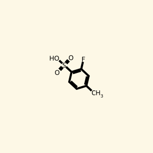 Cc1ccc(S(=O)(=O)O)c(F)c1